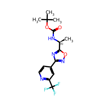 C[C@H](NC(=O)OC(C)(C)C)c1nc(-c2ccnc(C(F)(F)F)c2)no1